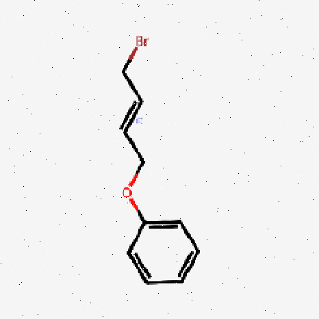 BrC/C=C/COc1ccccc1